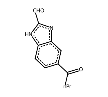 CCCC(=O)c1ccc2[nH]c(C=O)nc2c1